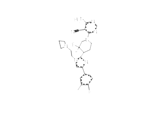 Cc1cc(-c2cn(CCN3CCC3)c(C3CCN(c4ncnc(N)c4C#N)CC3(F)F)n2)ccc1F